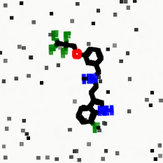 Fc1cccc2c(CCNCc3cccc(OCC(F)(F)C(F)F)c3)c[nH]c12